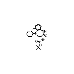 Cc1cccc2c1N(C1CCCCC1)C[C@@H](NC(=O)OC(C)(C)C)C(=O)N2